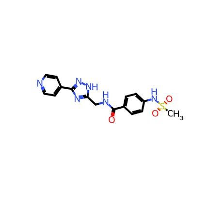 CS(=O)(=O)Nc1ccc(C(=O)NCc2nc(-c3ccncc3)n[nH]2)cc1